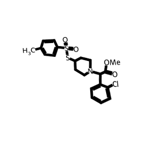 COC(=O)C(c1ccccc1Cl)N1CCC(SS(=O)(=O)c2ccc(C)cc2)CC1